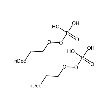 CCCCCCCCCCCCOOP(=O)(O)O.CCCCCCCCCCCCOOP(=O)(O)O